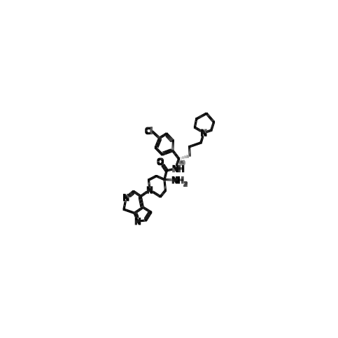 NC1(C(=O)N[C@@H](CCCN2CCCCC2)c2ccc(Cl)cc2)CCN(C2=C3C=CN=C3CN=C2)CC1